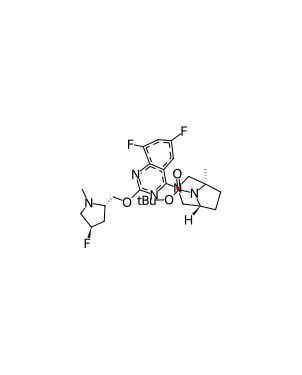 CN1C[C@H](F)C[C@H]1COc1nc(N2C[C@H]3CC[C@](C)(C2)N3C(=O)OC(C)(C)C)c2cc(F)cc(F)c2n1